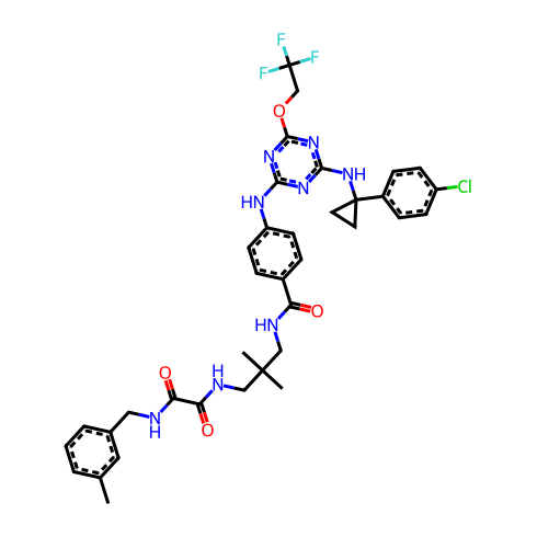 Cc1cccc(CNC(=O)C(=O)NCC(C)(C)CNC(=O)c2ccc(Nc3nc(NC4(c5ccc(Cl)cc5)CC4)nc(OCC(F)(F)F)n3)cc2)c1